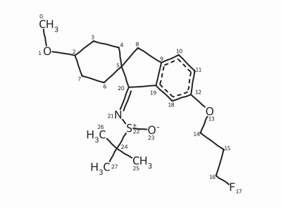 COC1CCC2(CC1)Cc1ccc(OCCCF)cc1/C2=N\[S+]([O-])C(C)(C)C